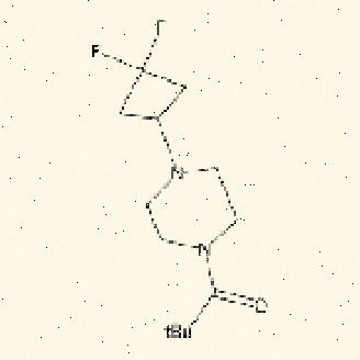 CC(C)(C)C(=O)N1CCN(C2CC(F)(F)C2)CC1